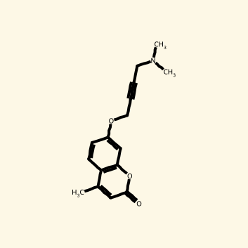 Cc1cc(=O)oc2cc(OCC#CCN(C)C)ccc12